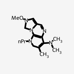 CCCN1CC(C)=C(N(C)C)C2=C1N1CN(OC)C=C1C=N2